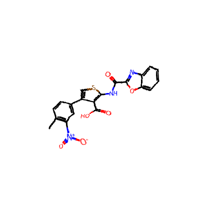 Cc1ccc(-c2csc(NC(=O)c3nc4ccccc4o3)c2C(=O)O)cc1[N+](=O)[O-]